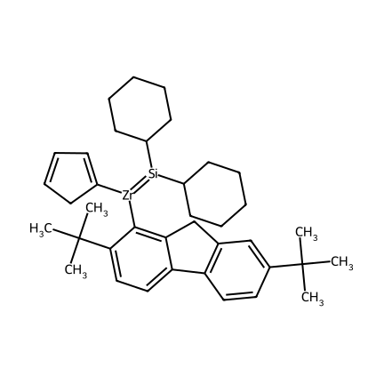 CC(C)(C)c1ccc2c(c1)Cc1c-2ccc(C(C)(C)C)[c]1[Zr]([C]1=CC=CC1)=[Si](C1CCCCC1)C1CCCCC1